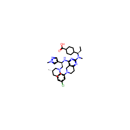 CC[C@H](C1CCC(C(=O)O)CC1)N(C)c1nc2c(c(N[C@@H](CN3CCC[C@H](C)C3)c3cnn(C)c3)n1)CN(c1cccc(Cl)c1)CC2